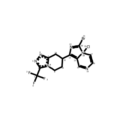 FC(F)(F)c1nnc2n1CCC(C1=C3C=NC=C[N+]3(Cl)C(Br)=N1)C2